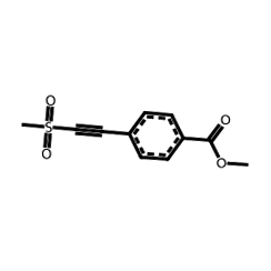 COC(=O)c1ccc(C#CS(C)(=O)=O)cc1